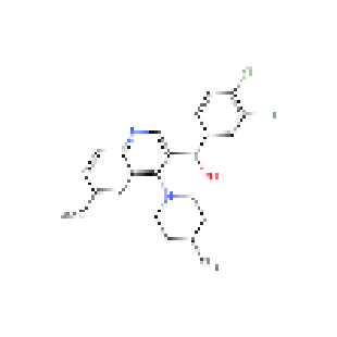 COc1ccc2ncc(C(O)c3ccc(Cl)c(Cl)c3)c(N3CCC(C)CC3)c2c1